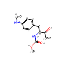 COC(=O)[C@H](Cc1ccc(NC=O)cc1)NC(=O)OC(C)(C)C